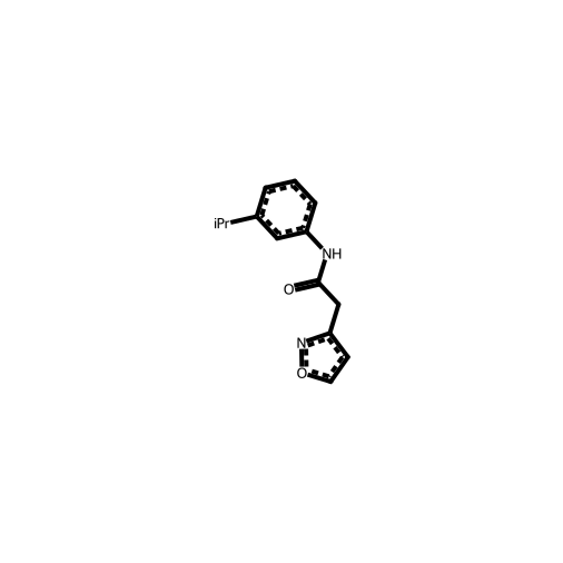 CC(C)c1cccc(NC(=O)Cc2ccon2)c1